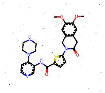 COc1cc2c(cc1OC)CN(c1ccc(C(=O)Nc3cnccc3N3CCNCC3)s1)C(=O)C2